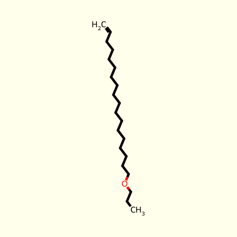 C=CCCCCCCCCCCCCCCCCOCCC